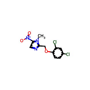 Cn1c([N+](=O)[O-])cnc1COc1ccc(Cl)cc1Cl